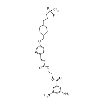 Nc1cc(N)cc(C(=O)OCCOC(=O)C=Cc2ccc(OCC3CCC(CCCC(F)(F)C(F)(F)F)CC3)cc2)c1